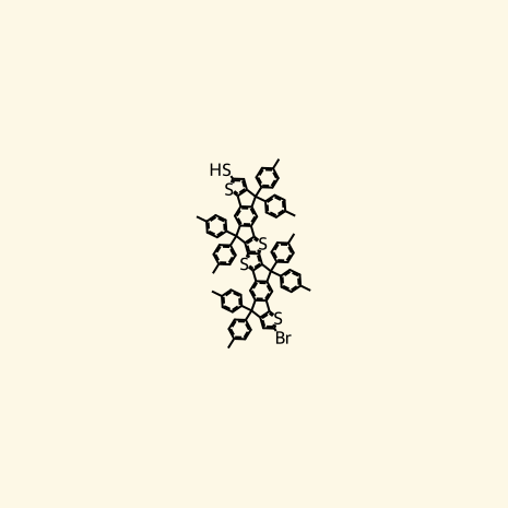 Cc1ccc(C2(c3ccc(C)cc3)c3cc4c(cc3-c3sc(S)cc32)C(c2ccc(C)cc2)(c2ccc(C)cc2)c2c-4sc3c4c(sc23)-c2cc3c(cc2C4(c2ccc(C)cc2)c2ccc(C)cc2)-c2sc(Br)cc2C3(c2ccc(C)cc2)c2ccc(C)cc2)cc1